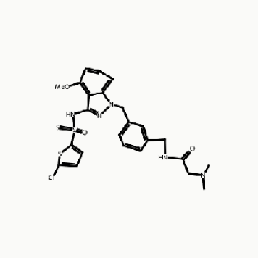 COc1cccc2c1c(NS(=O)(=S)c1ccc(Cl)s1)nn2Cc1cccc(CNC(=O)CN(C)C)c1